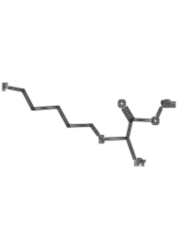 CC(C)C(SCCCCCF)C(=O)OC(C)(C)C